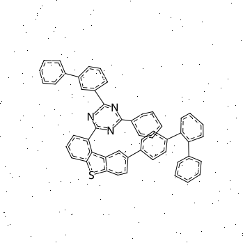 c1ccc(-c2cccc(-c3nc(-c4ccccc4)nc(-c4cccc5sc6ccc(-c7ccc(-c8ccccc8-c8ccccc8)cc7)cc6c45)n3)c2)cc1